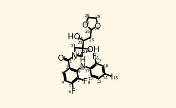 O=C(c1ccc(F)c(F)c1Nc1ccc(I)cc1F)N1CC(O)(C(O)CC2OCCO2)C1